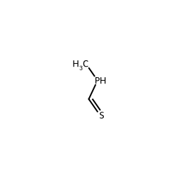 CPC=S